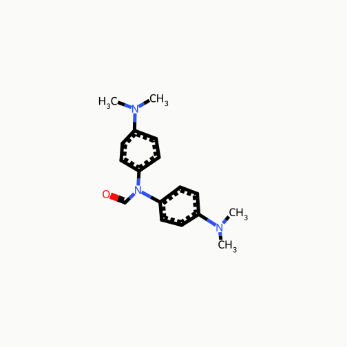 CN(C)c1ccc(N(C=O)c2ccc(N(C)C)cc2)cc1